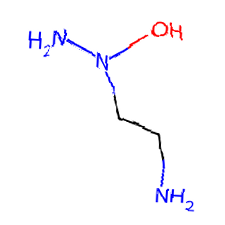 NCCN(N)O